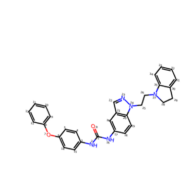 O=C(Nc1ccc(Oc2ccccc2)cc1)Nc1ccc2c(cnn2CCN2CCc3ccccc32)c1